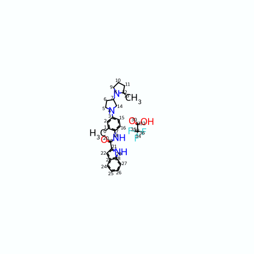 Cc1cc(N2CCC(N3CCCC3C)C2)ccc1NC(=O)c1cc2ccccc2[nH]1.O=C(O)C(F)(F)F